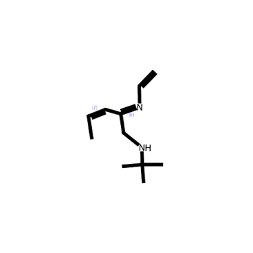 C=C/N=C(\C=C/C)CNC(C)(C)C